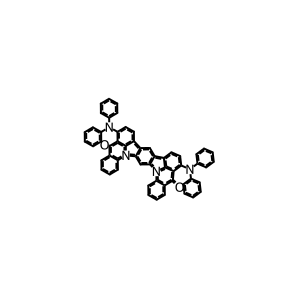 O=c1c2ccccc2n2c3cc4c(cc3c3ccc(N(c5ccccc5)c5ccccc5)c1c32)c1ccc(N(c2ccccc2)c2ccccc2)c2c(=O)c3ccccc3n4c21